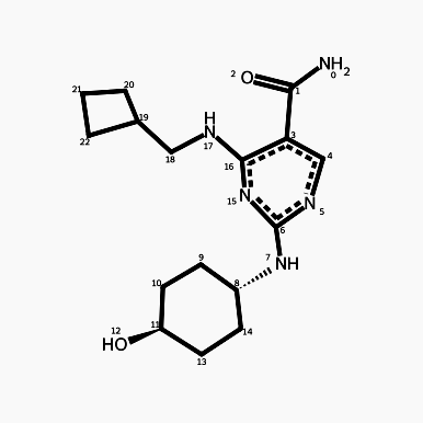 NC(=O)c1cnc(N[C@H]2CC[C@H](O)CC2)nc1NCC1CCC1